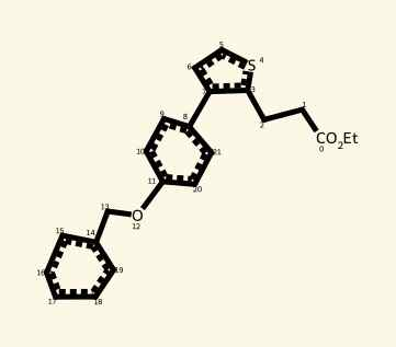 CCOC(=O)CCc1sccc1-c1ccc(OCc2ccccc2)cc1